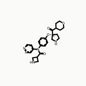 O=C(C1CNC1)N(c1ccc(O[C@]2(C(=O)C3CCOCC3)CCNC2)cc1)c1ccnnc1